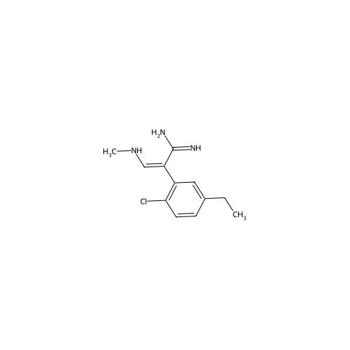 CCc1ccc(Cl)c(/C(=C/NC)C(=N)N)c1